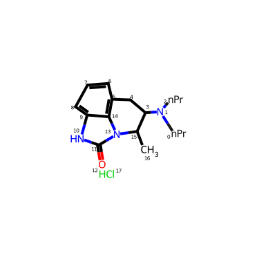 CCCN(CCC)C1Cc2cccc3[nH]c(=O)n(c23)C1C.Cl